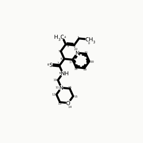 CCC=C(C)CC(C(=S)NCN1CCOCC1)c1ccccn1